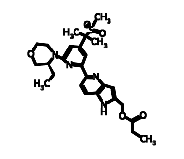 CCC(=O)OCc1cc2nc(-c3cc(C(C)(C)S(C)(=O)=O)cc(N4CCOC[C@@H]4CC)n3)ccc2[nH]1